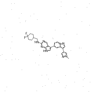 Cn1cc(-c2cnn3ccc(-c4c[nH]c5nc(NCC6CCC(F)(F)CC6)ncc45)cc23)cn1